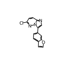 Clc1ccc2ncc(-c3ccc4ccoc4c3)n2n1